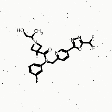 CC(CO)N1CC(F)(C(=O)N(Cc2ccc(-c3nnc(C(F)F)o3)cn2)c2cccc(F)c2)C1